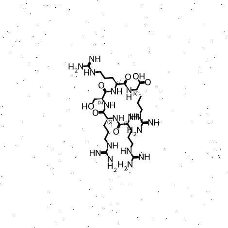 N=C(N)NCCC[C@H](NC(=O)[C@H](CCCNC(=N)N)NC(=O)[C@H](CO)NC(=O)[C@H](CCCNC(=N)N)NC(=O)[C@@H](N)CCCNC(=N)N)C(=O)O